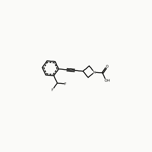 O=C(O)N1CC(C#Cc2ccccc2C(F)F)C1